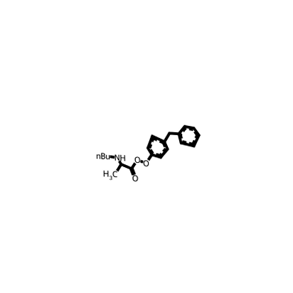 CCCCNC(C)C(=O)OOc1ccc(Cc2ccccc2)cc1